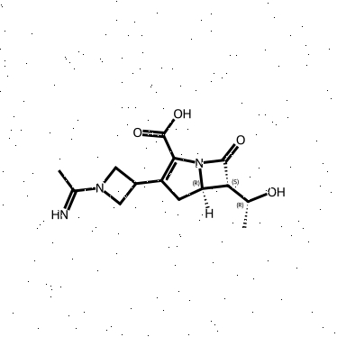 CC(=N)N1CC(C2=C(C(=O)O)N3C(=O)[C@H]([C@@H](C)O)[C@H]3C2)C1